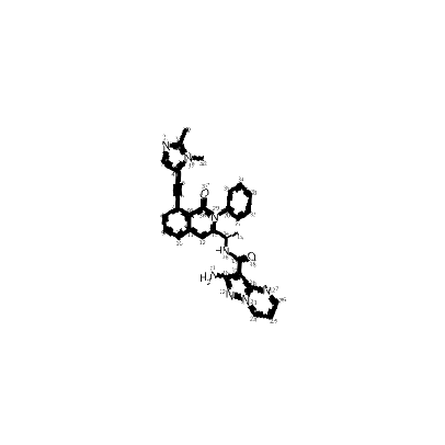 Cc1ncc(C#Cc2cccc3cc([C@@H](C)NC(=O)c4c(N)nn5cccnc45)n(-c4ccccc4)c(=O)c23)n1C